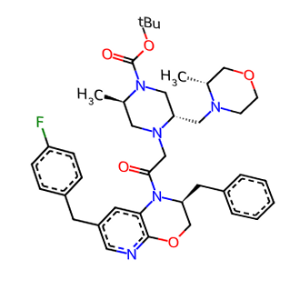 C[C@@H]1COCCN1C[C@H]1CN(C(=O)OC(C)(C)C)[C@H](C)CN1CC(=O)N1c2cc(Cc3ccc(F)cc3)cnc2OC[C@@H]1Cc1ccccc1